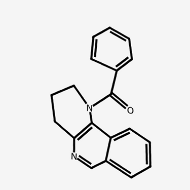 O=C(c1ccccc1)N1CCCc2ncc3ccccc3c21